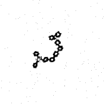 c1ccc(-c2nc(-c3ccccc3)nc(-c3ccc(-c4cccc(-c5ccc(-c6cccc(-c7ccc(-n8c9ccccc9c9ccccc98)cc7)c6)cc5)c4)cc3)n2)cc1